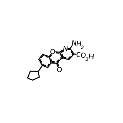 Nc1nc2oc3ccc(C4CCCC4)cc3c(=O)c2cc1C(=O)O